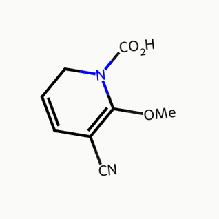 COC1=C(C#N)C=CCN1C(=O)O